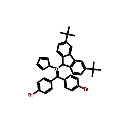 CC(C)(C)c1ccc2c(c1)-c1cc(C(C)(C)C)ccc1[CH]2[Zr](=[C](c1ccc(Br)cc1)c1ccc(Br)cc1)[CH]1C=CC=C1